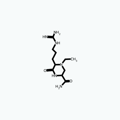 CCN1CC(C(N)=O)NC(=O)C1CCCNC(=N)N